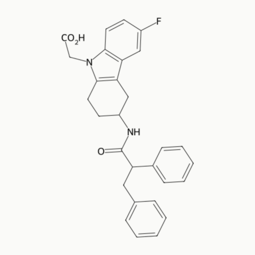 O=C(O)Cn1c2c(c3cc(F)ccc31)CC(NC(=O)C(Cc1ccccc1)c1ccccc1)CC2